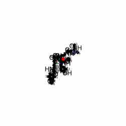 C=C(/C=C\C(=C/C)CNC(C)=O)C(=O)NCCCC(C(=O)NC(CCCNC(=N)NS(=O)(=O)c1c(C)c(C)c2c(c1C)CC(C)(C)O2)C(=O)O)N(C)C(=O)C(Cc1ccc(O)c(I)c1)NC(=O)OC(C)(C)C